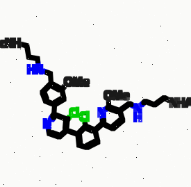 COc1cc(-c2nccc(-c3cccc(-c4ccc(CNCCCNC(C)=O)c(OC)n4)c3Cl)c2Cl)ccc1CNCCCNC(C)=O